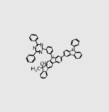 CC1(C)c2ccccc2-c2cc3c4ccc(-c5ccc6c(c5)c5ccccc5n6-c5ccccc5)cc4n(-c4cccc(-c5nc(-c6ccccc6)nc(-c6ccccc6)n5)c4)c3cc21